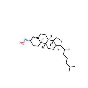 CC(C)CCC[C@@H](C)[C@H]1CC[C@H]2[C@@H]3CCC4=C/C(=N/O)CC[C@]4(C)[C@H]3CC[C@]12C